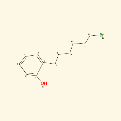 Oc1ccccc1CCCCCCBr